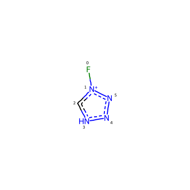 F[n+]1c[nH]nn1